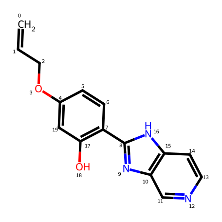 C=CCOc1ccc(-c2nc3cnccc3[nH]2)c(O)c1